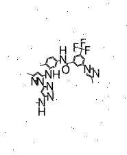 CNc1cc(-n2nc(C)cc2Nc2cc(NC(=O)c3cc(-n4cnc(C)c4)cc(C(F)(F)F)c3)ccc2C)ncn1